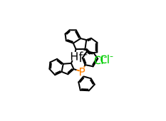 C1=C(P(c2ccccc2)c2ccccc2)[CH]([Hf+2][CH]2c3ccccc3-c3ccccc32)c2ccccc21.[Cl-].[Cl-]